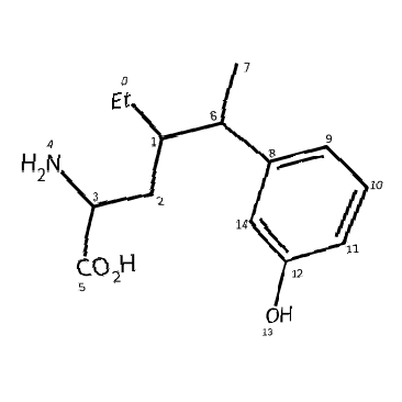 CCC(CC(N)C(=O)O)C(C)c1cccc(O)c1